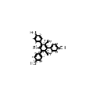 CC(C)c1c(-c2ccc(O)cc2)c(C(C)C)c(-c2ccc(O)cc2)c(C(C)C)c1-c1ccc(O)cc1